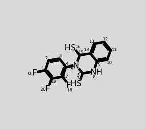 Fc1ccc(N2C(S)Nc3ccccc3C2S)c(F)c1F